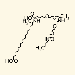 C=C(COCCOCCCC[C@H](NC(=C)CCCCCCCCCCCCCCCCC(=O)O)C(=O)O)NCCOCCOCC(=O)NCCCC